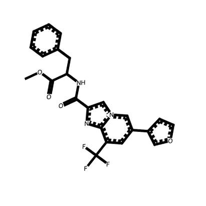 COC(=O)C(Cc1ccccc1)NC(=O)c1cn2cc(-c3ccoc3)cc(C(F)(F)F)c2n1